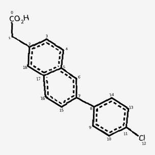 O=C(O)Cc1ccc2cc(-c3ccc(Cl)cc3)ccc2c1